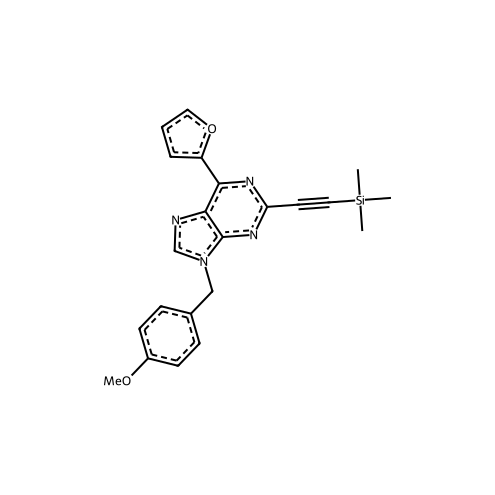 COc1ccc(Cn2cnc3c(-c4ccco4)nc(C#C[Si](C)(C)C)nc32)cc1